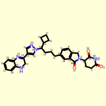 O=C1CCC(N2Cc3ccc(CCCC(C4CCC4)n4cc(C5=Nc6ccccc6NC5)cn4)cc3C2=O)C(=O)N1